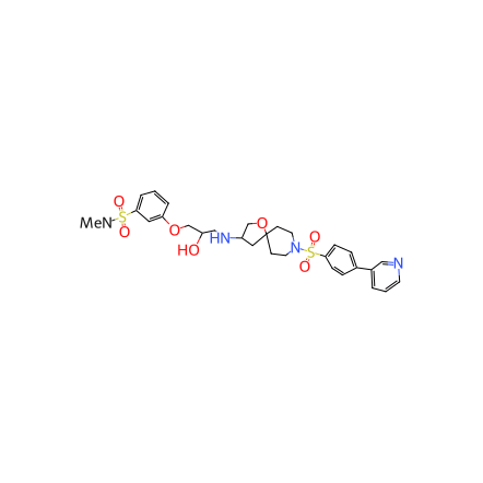 CNS(=O)(=O)c1cccc(OCC(O)CNC2COC3(CCN(S(=O)(=O)c4ccc(-c5cccnc5)cc4)CC3)C2)c1